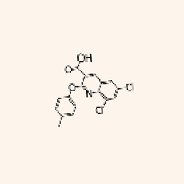 Cc1ccc(Oc2nc3c(Cl)cc(Cl)cc3cc2C(=O)O)cc1